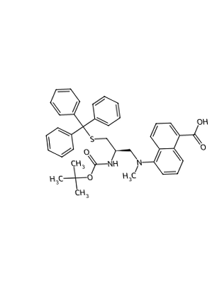 CN(C[C@H](CSC(c1ccccc1)(c1ccccc1)c1ccccc1)NC(=O)OC(C)(C)C)c1cccc2c(C(=O)O)cccc12